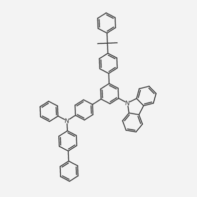 CC(C)(c1ccccc1)c1ccc(-c2cc(-c3ccc(N(c4ccccc4)c4ccc(-c5ccccc5)cc4)cc3)cc(-n3c4ccccc4c4ccccc43)c2)cc1